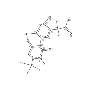 Cn1c(C(F)(F)F)cc(=O)n(-c2cc(C(C)(C)C(=O)O)c(Cl)cc2F)c1=O